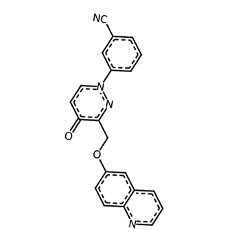 N#Cc1cccc(-n2ccc(=O)c(COc3ccc4ncccc4c3)n2)c1